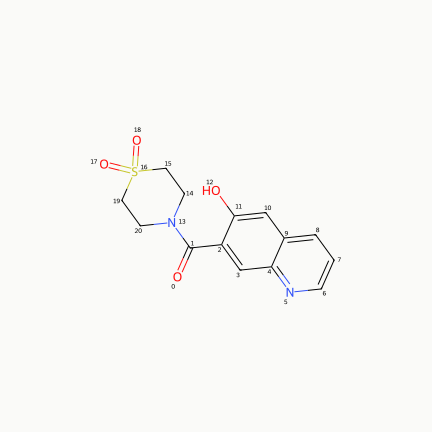 O=C(c1cc2ncccc2cc1O)N1CCS(=O)(=O)CC1